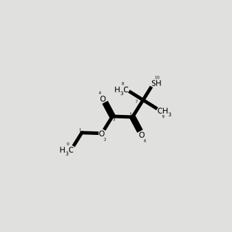 CCOC(=O)C(=O)C(C)(C)S